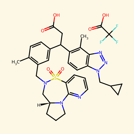 Cc1ccc(C(CC(=O)O)c2ccc3c(nnn3CC3CC3)c2C)cc1CN1C[C@H]2CCCN2c2ncccc2S1(=O)=O.O=C(O)C(F)(F)F